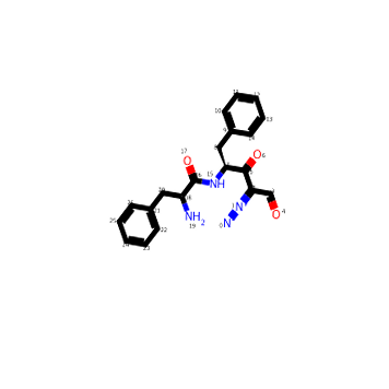 [N-]=[N+]=C(C=O)C(=O)[C@H](Cc1ccccc1)NC(=O)C(N)Cc1ccccc1